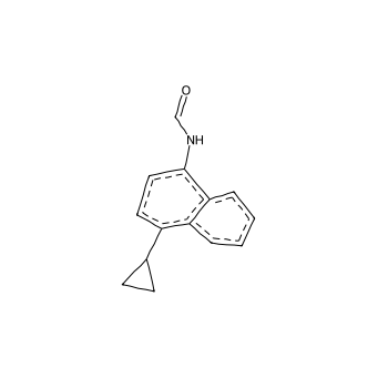 O=CNc1ccc(C2CC2)c2ccccc12